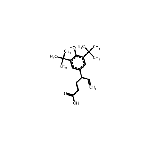 C=CC(CCC(=O)O)c1cc(C(C)(C)C)c(O)c(C(C)(C)C)c1